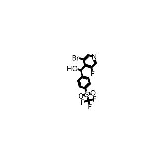 O=S(=O)(c1ccc(C(O)c2c(F)cncc2Br)cc1)C(F)(F)F